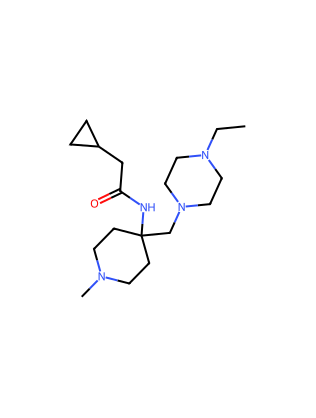 CCN1CCN(CC2(NC(=O)CC3CC3)CCN(C)CC2)CC1